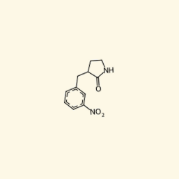 O=C1NCCC1Cc1cccc([N+](=O)[O-])c1